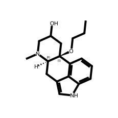 CCCO[C@]12CC(O)CN(C)[C@@H]1Cc1c[nH]c3cccc2c13